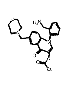 CCC(=O)Oc1cn(-c2ccccc2CN)c2ccc(CN3CCOCC3)cc2c1=O